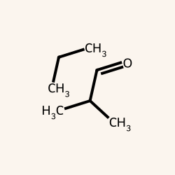 CC(C)C=O.CCC